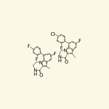 Cc1c2n(c3c(-c4ccc(Cl)cc4F)cc(F)cc13)CCNC2=O.Cc1c2n(c3c(-c4ccc(F)cc4F)cc(F)cc13)CCNC2=O